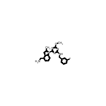 COc1nc(NCc2cccc(F)c2)nc(-n2c(C)cc3c(CN)cccc32)n1